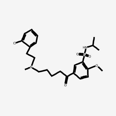 COc1ccc(C(=O)CCCCN(C)CCc2ccccc2Cl)cc1S(=O)(=O)NC(C)C